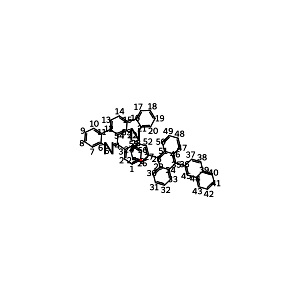 c1ccc(-c2nc3ccccc3c3ccc4c5ccccc5n(-c5cccc(-c6c7ccccc7c(-c7ccc8ccccc8c7)c7ccccc67)c5)c4c23)cc1